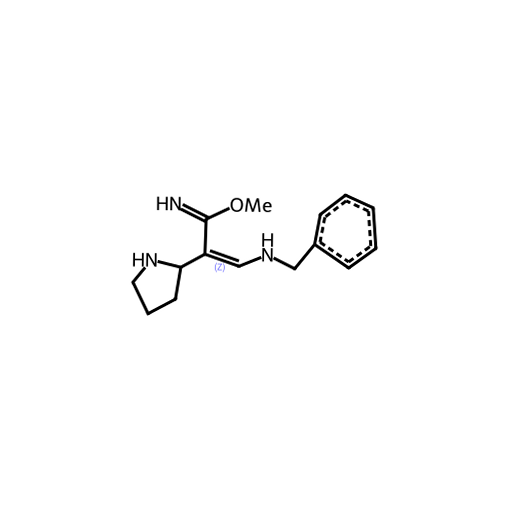 COC(=N)/C(=C\NCc1ccccc1)C1CCCN1